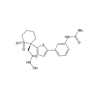 CC(C)(C)C(=O)Nc1cccc(-c2ccc([C@@]3(CC(=O)NO)CCCCS3(=O)=O)s2)c1